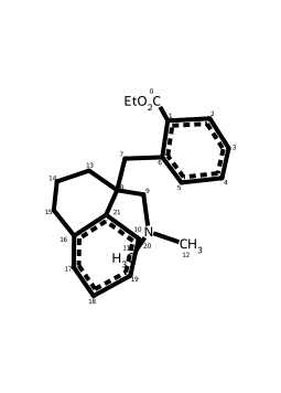 CCOC(=O)c1ccccc1CC1(CN(C)C)CCCc2ccccc21